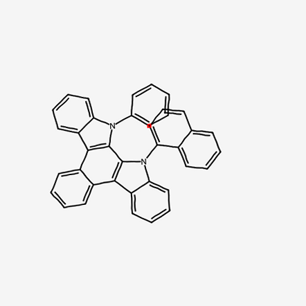 c1ccc(-n2c3ccccc3c3c4ccccc4c4c5ccccc5n(-c5cccc6ccccc56)c4c32)cc1